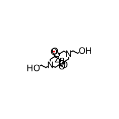 O=[C]1CN(CCO)C[C](=O)[Zn]12[C](=O)CN(CCO)C[C]2=O